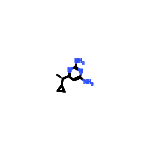 C[C@H](c1cc(N)nc(N)n1)C1CC1